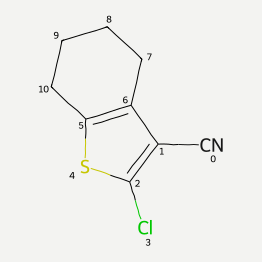 N#Cc1c(Cl)sc2c1CCCC2